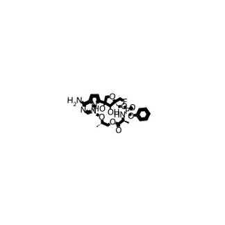 CO[C@@H](C)COC(=O)[C@H](C)NP(=O)(OC[C@@]1(CF)OC[C@@](O)(c2ccc3c(N)ncnn23)[C@@H]1O)Oc1ccccc1